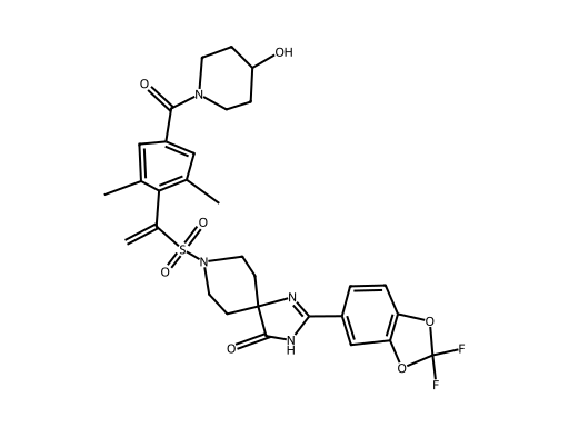 C=C(c1c(C)cc(C(=O)N2CCC(O)CC2)cc1C)S(=O)(=O)N1CCC2(CC1)N=C(c1ccc3c(c1)OC(F)(F)O3)NC2=O